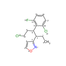 CCC(c1ccon1)C(CCCl)c1c(F)cccc1Cl